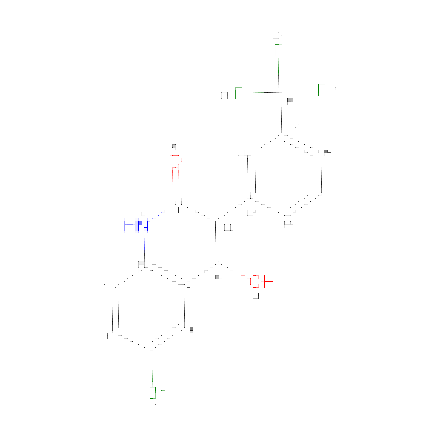 O=c1[nH]c2ccc(Br)cc2c(O)c1-c1cccc(C(F)(F)F)c1